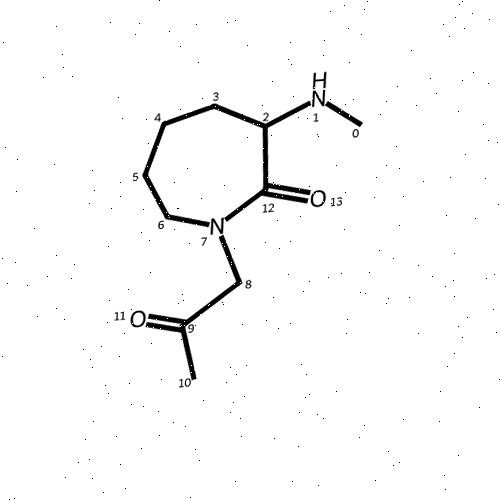 CNC1CCCCN(CC(C)=O)C1=O